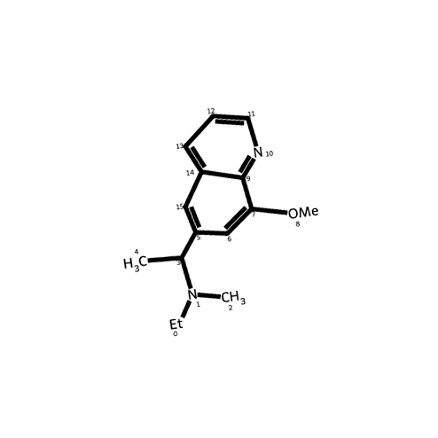 CCN(C)C(C)c1cc(OC)c2ncccc2c1